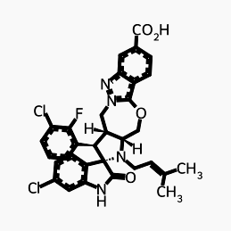 CC(C)=CCN1[C@H]2COc3c4ccc(C(=O)O)cc4nn3C[C@H]2[C@H](c2cccc(Cl)c2F)[C@]12C(=O)Nc1cc(Cl)ccc12